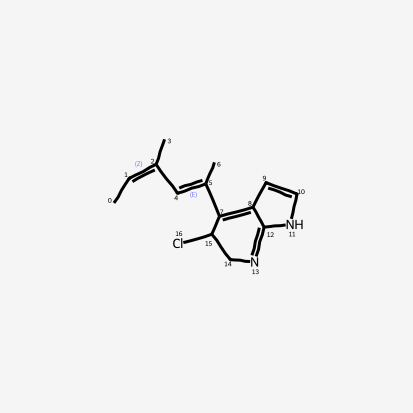 C/C=C(C)\C=C(/C)C1=c2cc[nH]c2=NCC1Cl